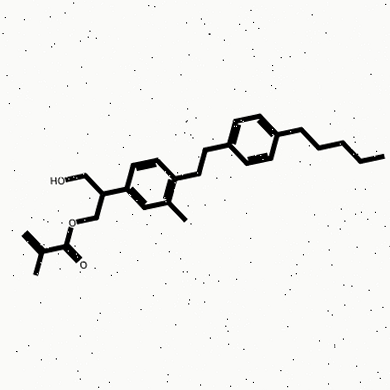 C=C(C)C(=O)OCC(CO)c1ccc(CCc2ccc(CCCCC)cc2)c(C)c1